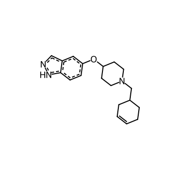 C1=CCC(CN2CCC(Oc3ccc4[nH]ncc4c3)CC2)CC1